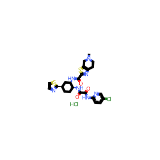 CN1CCc2nc(C(=O)N[C@@H]3C[C@H](c4nccs4)CC[C@@H]3NC(=O)C(=O)Nc3ccc(Cl)cn3)sc2C1.Cl